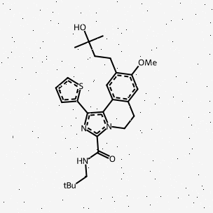 COc1cc2c(cc1CCC(C)(C)O)-c1c(-c3cccs3)nc(C(=O)NCC(C)(C)C)n1CC2